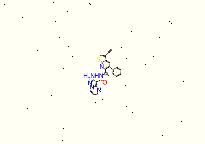 C#Cc1csc2nc([C@@H](C)NC(=O)c3c(N)nn4cccnc34)c(-c3ccccc3)cc12